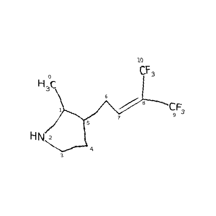 CC1NCCC1CC=C(C(F)(F)F)C(F)(F)F